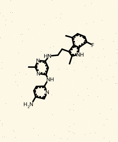 Cc1nc(NCCc2c(C)[nH]c3c(F)ccc(C)c23)cc(Nc2ccc(N)cn2)n1